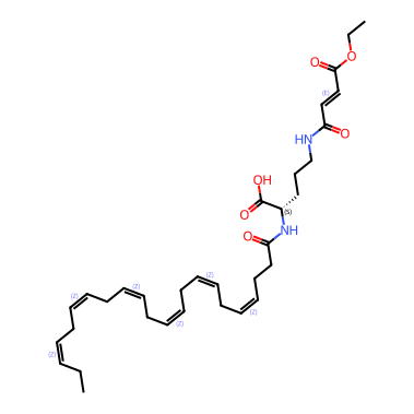 CC/C=C\C/C=C\C/C=C\C/C=C\C/C=C\C/C=C\CCC(=O)N[C@@H](CCCNC(=O)/C=C/C(=O)OCC)C(=O)O